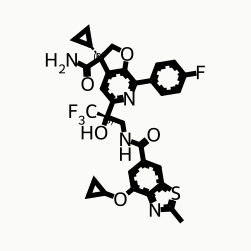 Cc1nc2c(OC3CC3)cc(C(=O)NC[C@](O)(c3cc4c(c(-c5ccc(F)cc5)n3)OC[C@@]4(C(N)=O)C3CC3)C(F)(F)F)cc2s1